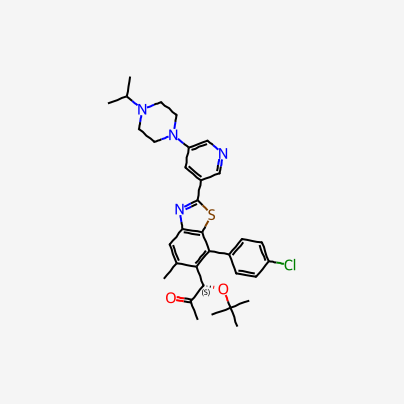 CC(=O)[C@@H](OC(C)(C)C)c1c(C)cc2nc(-c3cncc(N4CCN(C(C)C)CC4)c3)sc2c1-c1ccc(Cl)cc1